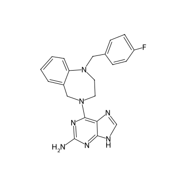 Nc1nc(N2CCN(Cc3ccc(F)cc3)c3ccccc3C2)c2nc[nH]c2n1